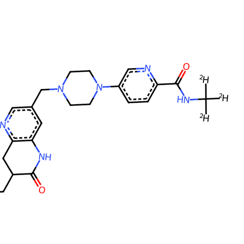 [2H]C([2H])([2H])NC(=O)c1ccc(N2CCN(Cc3cnc4c(c3)NC(=O)C(CC)C4)CC2)cn1